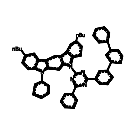 CCCCc1ccc2c(c1)c1cc3c4cc(CCCC)ccc4n(-c4nc(-c5ccccc5)nc(-c5cccc(-c6cccc(-c7ccccc7)c6)c5)n4)c3cc1n2-c1ccccc1